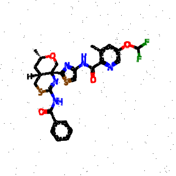 Cc1cc(OC(F)F)cnc1C(=O)Nc1csc([C@]23CO[C@@H](C)C[C@H]2CSC(NC(=O)c2ccccc2)=N3)n1